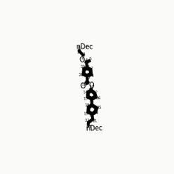 CCCCCCCCCCCCOC(C)c1ccc(C(=O)Oc2ccc(-c3ccc(CCCCCCCCCCCC)cc3)cc2)cc1